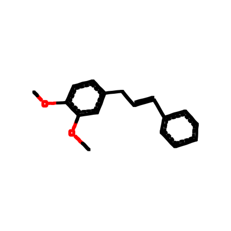 COc1ccc(CC=Cc2ccccc2)cc1OC